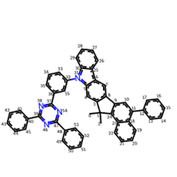 CC1(C)c2cc3c(cc2-c2cc(-c4ccccc4)c4ccccc4c21)c1ccccc1n3-c1cccc(-c2nc(-c3ccccc3)nc(-c3ccccc3)n2)c1